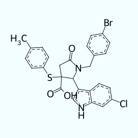 Cc1ccc(SC2(C(=O)O)CC(=O)N(Cc3ccc(Br)cc3)C2c2c[nH]c3cc(Cl)ccc23)cc1